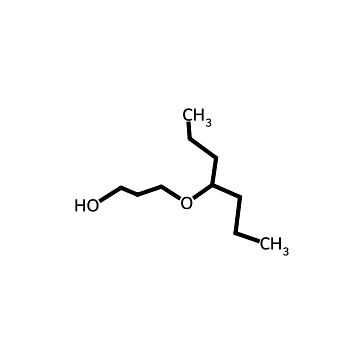 CCCC(CCC)OCCCO